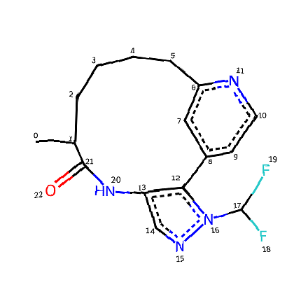 CC1CCCCc2cc(ccn2)-c2c(cnn2C(F)F)NC1=O